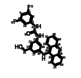 O=C(Nc1cc(F)cc(F)c1)Nc1cc(CO)cc(Nc2c3ccccc3nc3ccccc23)c1